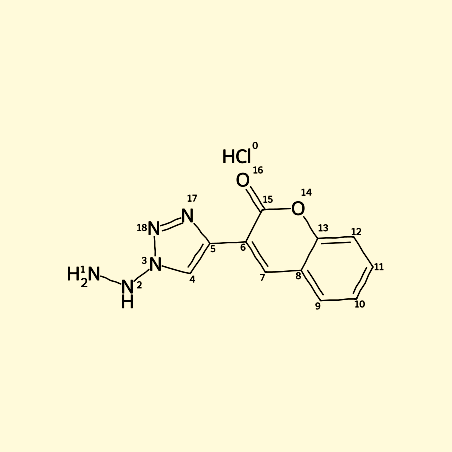 Cl.NNn1cc(-c2cc3ccccc3oc2=O)nn1